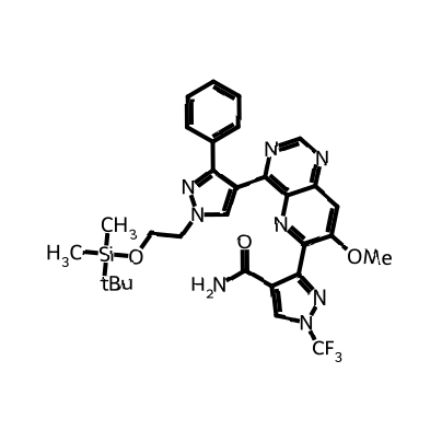 COc1cc2ncnc(-c3cn(CCO[Si](C)(C)C(C)(C)C)nc3-c3ccccc3)c2nc1-c1nn(C(F)(F)F)cc1C(N)=O